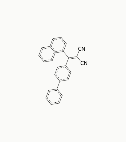 N#CC(C#N)=C(c1ccc(-c2ccccc2)cc1)c1cccc2ccccc12